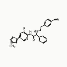 Cn1cc(-c2cnc(NC(=O)C(NCCc3ccc(C#N)cc3)c3ccccc3)c(F)c2)cn1